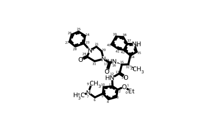 CCOc1ccc(CN(C)C)cc1NC(=O)[C@H](NC(=O)N1CCN(c2ccccc2)C(=O)C1)[C@@H](C)c1c[nH]c2ccccc12